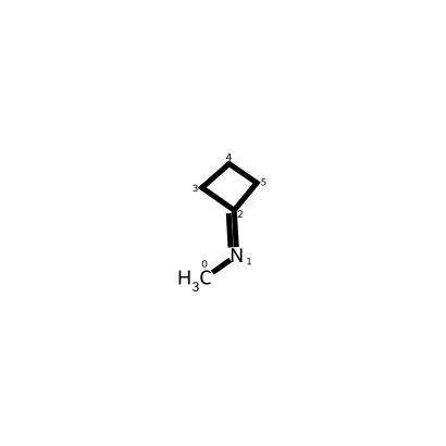 CN=C1CCC1